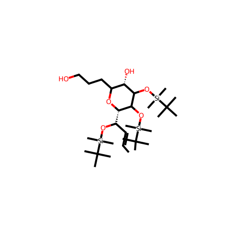 C/C=C/C(O[Si](C)(C)C(C)(C)C)[C@@H]1OC(CCCO)[C@H](O)C(O[Si](C)(C)C(C)(C)C)C1O[Si](C)(C)C(C)(C)C